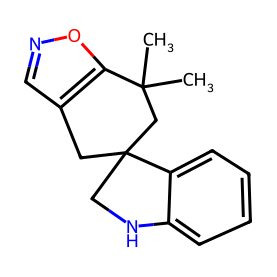 CC1(C)CC2(CNc3ccccc32)Cc2cnoc21